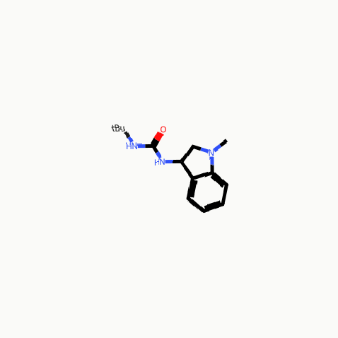 CN1CC(NC(=O)NC(C)(C)C)c2ccccc21